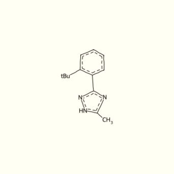 Cc1nc(-c2ccccc2C(C)(C)C)n[nH]1